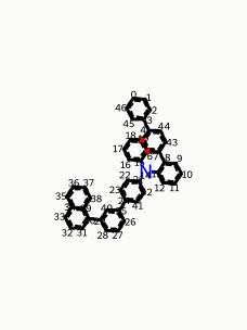 c1ccc(-c2ccc(-c3ccccc3N(c3ccccc3)c3ccc(-c4cccc(-c5cccc6ccccc56)c4)cc3)cc2)cc1